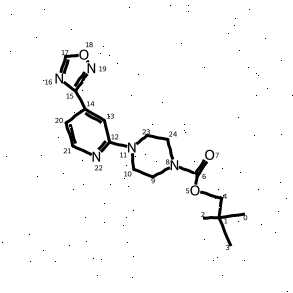 CC(C)(C)COC(=O)N1CCN(c2cc(-c3ncon3)ccn2)CC1